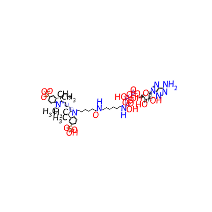 CC[N+]1=C(/C=C/C=C2/N(CCCCCC(=O)NCCCCCCNP(=O)(O)OP(=O)(O)OP(=O)(O)OC[C@H]3O[C@@H](n4cnc5c(N)ncnc54)[C@H](O)[C@@H]3O)c3ccc(S(=O)(=O)O)cc3C2(C)C)C(C)(C)c2cc(S(=O)(=O)[O-])ccc21